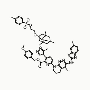 COc1ccc(COC(=O)c2nc(N3CCCc4c3nnc(Nc3nc5ccc(C)cc5s3)c4C)ccc2-c2cnn(CC34CC5(C)CC(C)(C3)CC(OCCOS(=O)(=O)c3ccc(C)cc3)(C5)C4)c2C)cc1